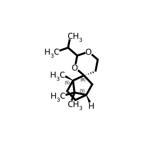 CC(C)C1OCC[C@@]2(C[C@@H]3CC[C@@]2(C)C3(C)C)O1